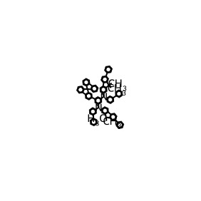 CC1(C)c2cc(-c3ccccc3)ccc2-c2ccc(N(c3cccc(-c4ccccc4)c3)c3cc(-c4ccc5c(c4)C4(c6ccccc6-c6ccccc64)c4ccccc4-5)cc(N(c4cccc(-c5ccccc5)c4)c4ccc5c(c4)C(C)(C)c4cc(-c6ccccc6)ccc4-5)c3)cc21